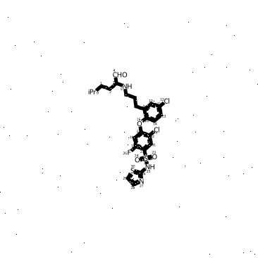 CC(C)CCC(C=O)NCCCc1cc(Cl)ccc1Oc1cc(F)c(S(=O)(=O)Nc2nccs2)cc1Cl